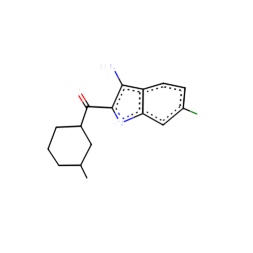 CC1CCCC(C(=O)c2[nH]c3cc(Cl)ccc3c2N)C1